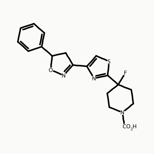 O=C(O)N1CCC(F)(c2nc(C3=NOC(c4ccccc4)C3)cs2)CC1